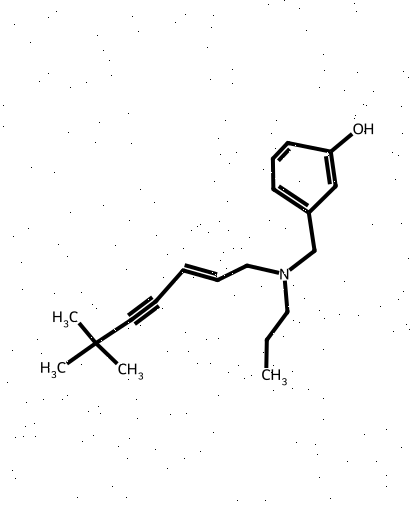 CCCN(CC=CC#CC(C)(C)C)Cc1cccc(O)c1